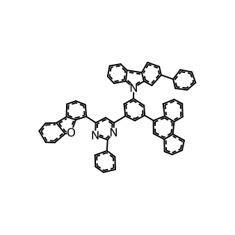 c1ccc(-c2ccc3c4ccccc4n(-c4cc(-c5cc(-c6cccc7c6oc6ccccc67)nc(-c6ccccc6)n5)cc(-c5cc6ccccc6c6ccccc56)c4)c3c2)cc1